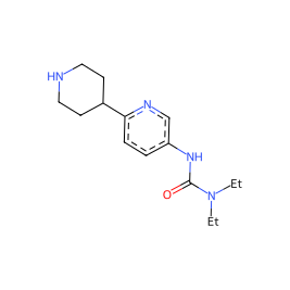 CCN(CC)C(=O)Nc1ccc(C2CCNCC2)nc1